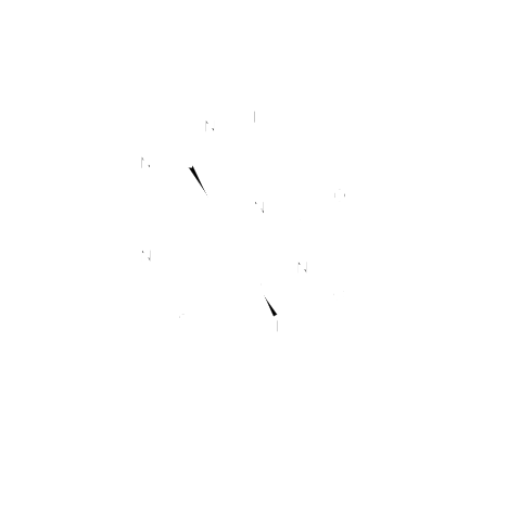 C=CCON1C(=O)N2C[C@H]1c1scnc1[C@H]2c1nccn1I